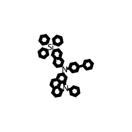 c1ccc(-c2ccc(N(c3ccc4cc([Si](c5ccccc5)(c5ccccc5)c5ccccc5)ccc4c3)c3cc4ccc5cccc6c5c4c(c3)n6-c3ccccc3)cc2)cc1